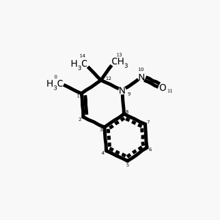 CC1=Cc2ccccc2N(N=O)C1(C)C